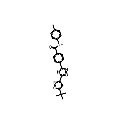 Cc1ccc(NC(=O)c2ccc(-c3noc(-c4cc(C(C)(C)C)on4)n3)cc2)cc1